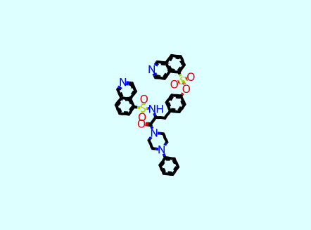 O=C(C(Cc1ccc(OS(=O)(=O)c2cccc3cnccc23)cc1)NS(=O)(=O)c1cccc2cnccc12)N1CCN(c2ccccc2)CC1